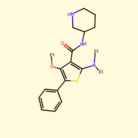 CCOc1c(-c2ccccc2)sc(N(CC)CC)c1C(=O)NC1CCCNC1